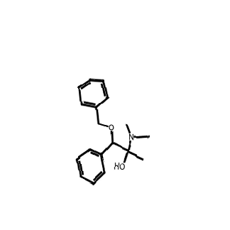 CN(C)C(C)(O)C(OCc1ccccc1)c1ccccc1